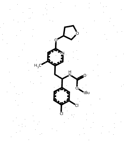 Cc1cc(OC2CCOC2)ncc1CC(NC(=O)OC(C)(C)C)c1ccc(Cl)c(Cl)c1